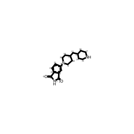 O=C1NC(=O)c2cc(N3CCC(CC4CCNCC4)CC3)ccc21